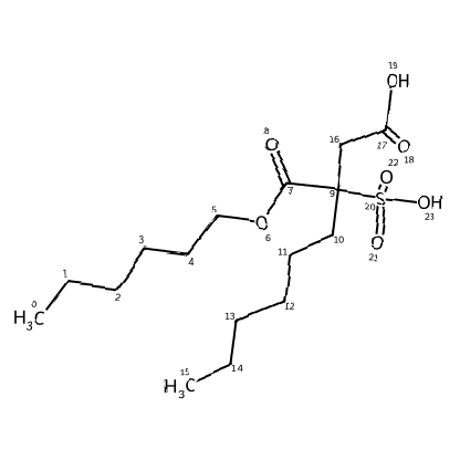 CCCCCCOC(=O)C(CCCCCC)(CC(=O)O)S(=O)(=O)O